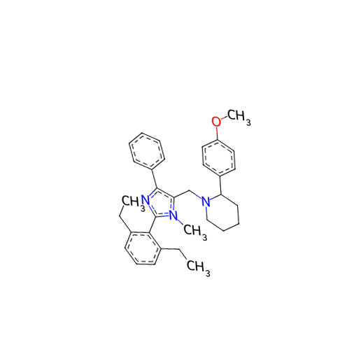 CCc1cccc(CC)c1-c1nc(-c2ccccc2)c(CN2CCCCC2c2ccc(OC)cc2)n1C